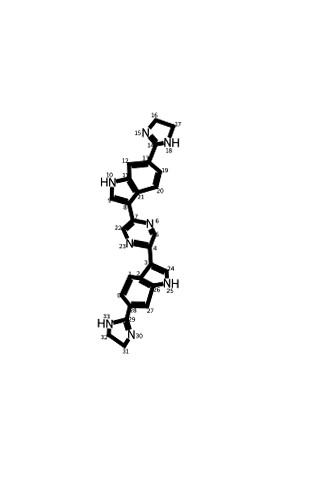 c1cc2c(-c3cnc(-c4c[nH]c5cc(C6=NCCN6)ccc45)cn3)c[nH]c2cc1C1=NCCN1